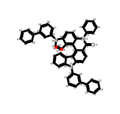 O=c1c2ccc3c(c4ccccc4n3-c3cccc(-c4ccccc4)c3)c2c2c3c4ccccc4n(-c4cccc(-c5ccccc5)c4)c3ccc2n1-c1ccccc1